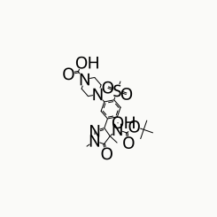 CN1N=C(c2ccc(S(C)(=O)=O)c(N3CCN(C(=O)O)CC3)c2)C(C)(N(O)C(=O)OC(C)(C)C)C1=O